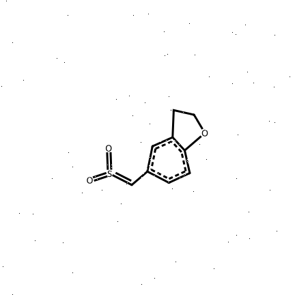 O=S(=O)=Cc1ccc2c(c1)[CH]CO2